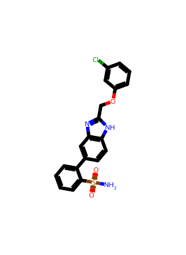 NS(=O)(=O)c1ccccc1-c1ccc2[nH]c(COc3cccc(Cl)c3)nc2c1